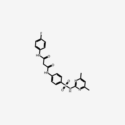 Cc1cc(C)nc(NS(=O)(=O)c2ccc(NC(=O)CC(=O)Nc3ccc(F)cc3)cc2)n1